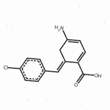 NC1=CC=C(C(=O)O)C(=Cc2ccc(Cl)cc2)C1